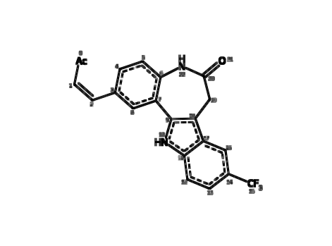 CC(=O)/C=C\c1ccc2c(c1)-c1[nH]c3ccc(C(F)(F)F)cc3c1CC(=O)N2